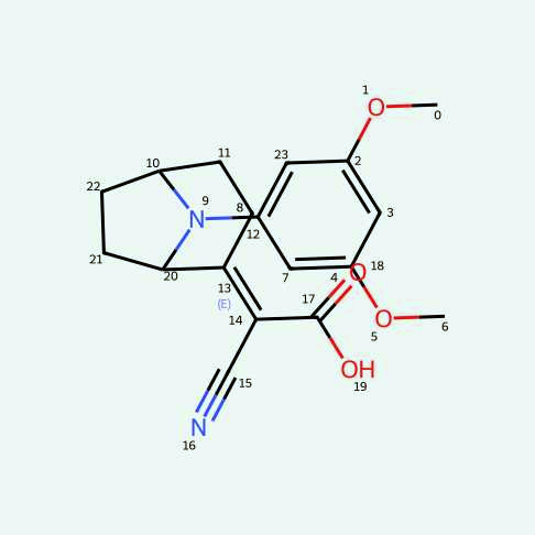 COc1cc(OC)cc(N2C3CC/C(=C(/C#N)C(=O)O)C2CC3)c1